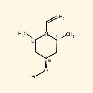 C=CN1[C@H](C)C[C@@H](OC(C)C)C[C@@H]1C